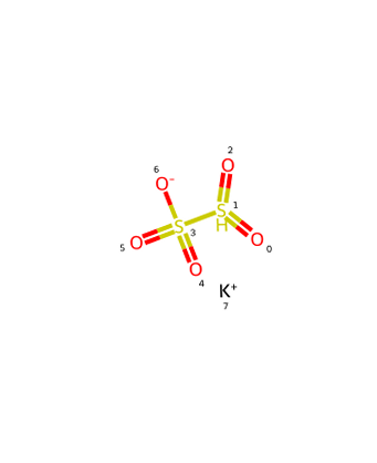 O=[SH](=O)S(=O)(=O)[O-].[K+]